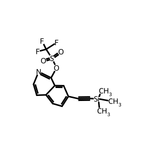 C[Si](C)(C)C#Cc1ccc2ccnc(OS(=O)(=O)C(F)(F)F)c2c1